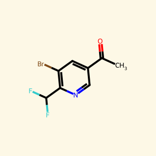 CC(=O)c1cnc(C(F)F)c(Br)c1